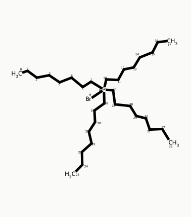 CCCCCCCCP(Br)(CCCCCCCC)(CCCCCCCC)CCCCCCCC